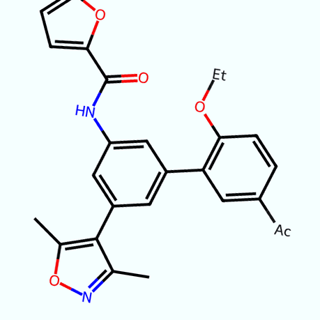 CCOc1ccc(C(C)=O)cc1-c1cc(NC(=O)c2ccco2)cc(-c2c(C)noc2C)c1